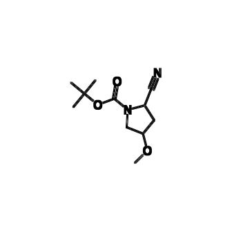 COC1CC(C#N)N(C(=O)OC(C)(C)C)C1